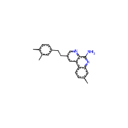 Cc1ccc2c(c1)nc(N)c1ncc(CCc3ccc(C)c(C)c3)cc12